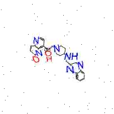 COc1ccc2nccc([C@@H](O)CN3CCC(NCc4cnc5ccccc5n4)CC3)c2n1